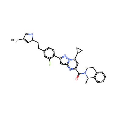 C[C@@H]1c2ccccc2CCN1C(=O)c1cc(C2CC2)n2nc(-c3ccc(CCC4C=C(C(=O)O)C=N4)cc3F)cc2n1